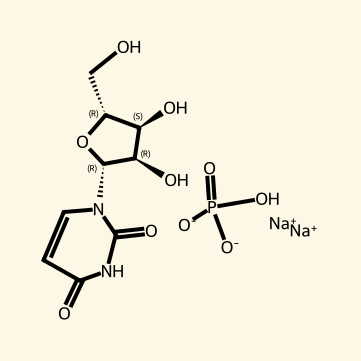 O=P([O-])([O-])O.O=c1ccn([C@@H]2O[C@H](CO)[C@@H](O)[C@H]2O)c(=O)[nH]1.[Na+].[Na+]